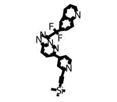 C[Si](C)(C)C#Cc1cc(-c2ccc3nnc(C(F)(F)c4ccc5ncccc5c4)n3n2)ccn1